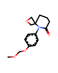 COCOc1ccc(N2C(=O)CCCC23COC3)cc1